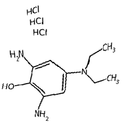 CCN(CC)c1cc(N)c(O)c(N)c1.Cl.Cl.Cl